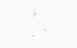 CCC(C)C(=O)OC(CC)(CC)CC(=O)OCC(F)(F)F